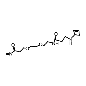 C=NC(=O)CCOCCOCCNC(=O)CCNC1C=CC1